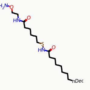 CCCCCCCCCCCCCCCCCC(=O)NSCCCCCC(=O)NCCON